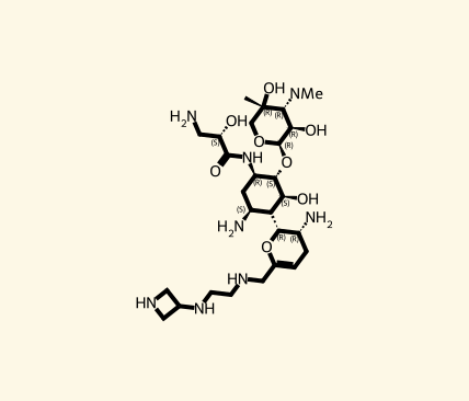 CN[C@@H]1[C@@H](O)[C@@H](O[C@H]2[C@H](NC(=O)[C@@H](O)CN)C[C@H](N)C([C@H]3OC(CNCCNC4CNC4)=CC[C@H]3N)[C@@H]2O)OC[C@]1(C)O